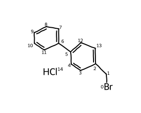 BrCc1ccc(-c2ccccc2)cc1.Cl